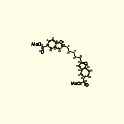 COC(=O)c1ccc2oc(CCCCCc3cc4cc(C(=O)OC)ccc4o3)cc2c1